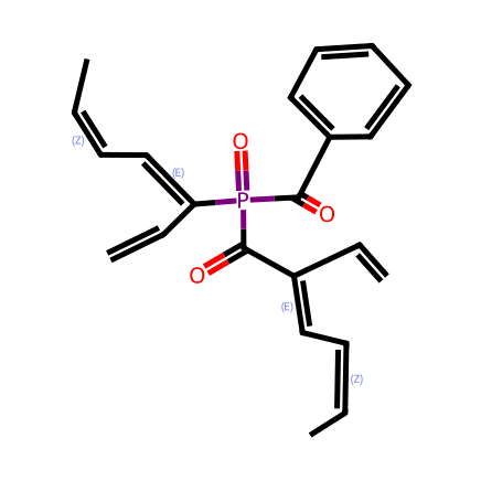 C=C/C(=C\C=C/C)C(=O)P(=O)(C(=O)c1ccccc1)/C(C=C)=C/C=C\C